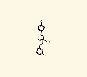 CC(=O)C(C)(COc1cccc(Cl)n1)OCc1ccc(Cl)cc1